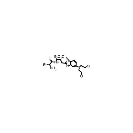 CCOC(=O)[C@H](CCc1nc2cc(N(CCCl)CCCl)ccc2n1C)NC(=O)[C@@H](N)C(C)C